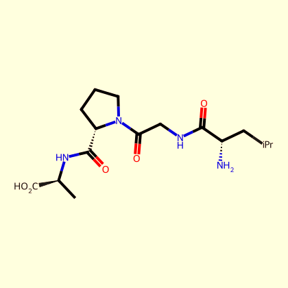 CC(C)C[C@H](N)C(=O)NCC(=O)N1CCC[C@H]1C(=O)N[C@@H](C)C(=O)O